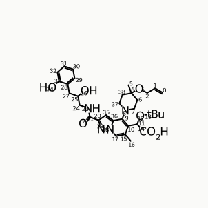 C=CCOC1(C)CCN(c2c(C(OC(C)(C)C)C(=O)O)c(C)cn3nc(C(=O)NCC(O)Cc4ccccc4O)cc23)CC1